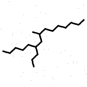 CCCCCCCC(C)[CH]C(CCC)CCCCC